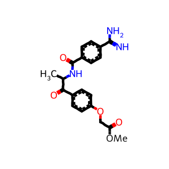 COC(=O)COc1ccc(C(=O)C(C)NC(=O)c2ccc(C(=N)N)cc2)cc1